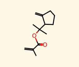 C=C(C)C(=O)OC(C)(C)C1CCCC1=C